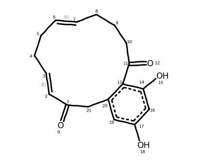 O=C1/C=C/CC/C=C/CCCC(=O)c2c(O)cc(O)cc2C1